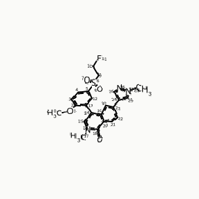 COc1ccc(S(=O)(=O)CCF)cc1-c1cn(C)c(=O)c2ccc(-c3cnn(C)c3)cc12